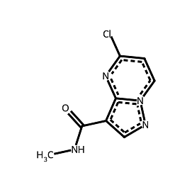 CNC(=O)c1cnn2ccc(Cl)nc12